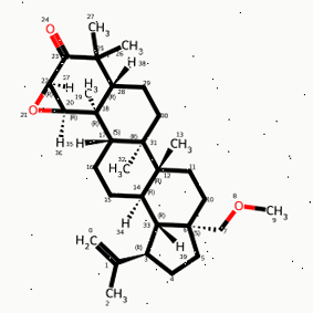 C=C(C)[C@@H]1CC[C@]2(COC)CC[C@]3(C)[C@H](CC[C@@H]4[C@@]5(C)[C@H]6O[C@H]6C(=O)C(C)(C)[C@@H]5CC[C@]43C)[C@@H]12